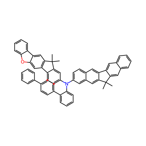 CC1(C)c2cc3ccccc3cc2-c2cc3ccc(N(c4ccc5c(c4)C(C)(C)c4cc6c(cc4-5)oc4ccccc46)c4ccccc4-c4ccc(-c5ccccc5)cc4)cc3cc21